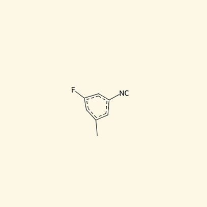 [C-]#[N+]c1cc(C)cc(F)c1